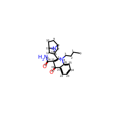 CCCCn1c(C2CC3CCC(C2)N3C)c(C(N)=O)c(=O)c2ccccc21